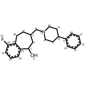 OC1CC(CN2CCC(c3ccccc3)CC2)CCc2c(F)cccc21